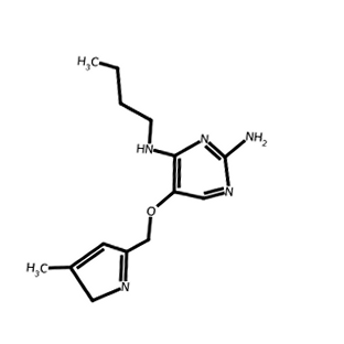 CCCCNc1nc(N)ncc1OCC1=NCC(C)=C1